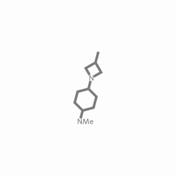 CNC1CCC(N2CC(C)C2)CC1